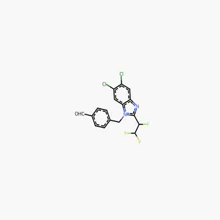 O=Cc1ccc(Cn2c(C(F)C(F)F)nc3cc(Cl)c(Cl)cc32)cc1